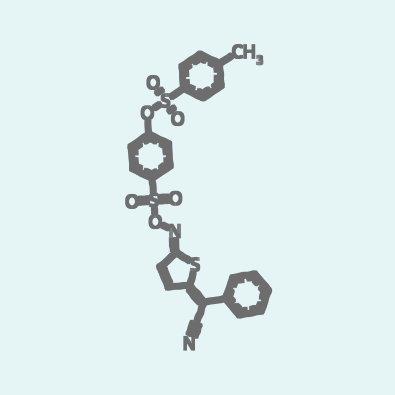 Cc1ccc(S(=O)(=O)Oc2ccc(S(=O)(=O)O/N=C3C=C/C(=C(\C#N)c4ccccc4)S\3)cc2)cc1